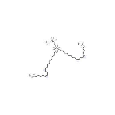 CCCCC/C=C\C/C=C\CCCCCCCCOP(=O)(OCCCCCCCC/C=C\C/C=C\CCCCC)OCCN(C)C